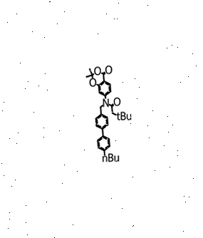 CCCCc1ccc(-c2ccc(CN(C(=O)CC(C)(C)C)c3ccc4c(c3)OC(C)(C)OC4=O)cc2)cc1